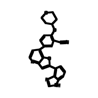 N#Cc1cc(-c2ccnc3cc(-c4cccc5[nH]cnc45)oc23)ccc1OC1CCOCC1